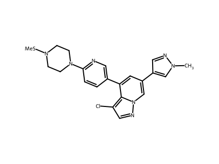 CSN1CCN(c2ccc(-c3cc(-c4cnn(C)c4)cn4ncc(Cl)c34)cn2)CC1